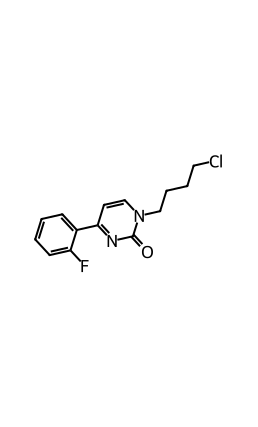 O=c1nc(-c2ccccc2F)ccn1CCCCCl